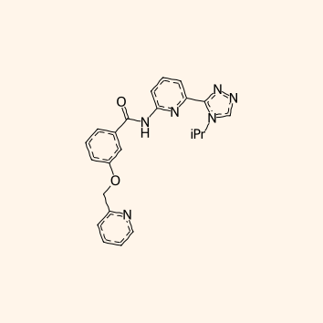 CC(C)n1cnnc1-c1cccc(NC(=O)c2cccc(OCc3ccccn3)c2)n1